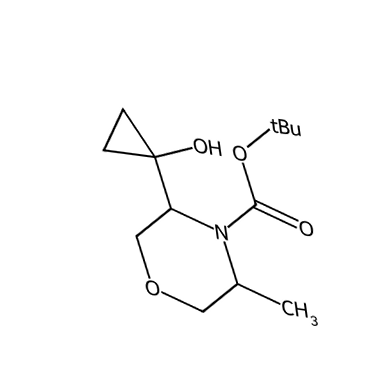 CC1COCC(C2(O)CC2)N1C(=O)OC(C)(C)C